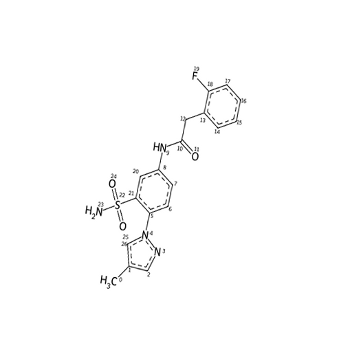 Cc1cnn(-c2ccc(NC(=O)Cc3ccccc3F)cc2S(N)(=O)=O)c1